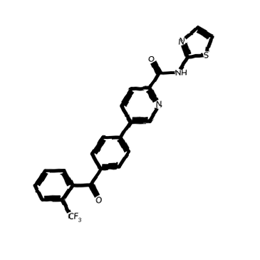 O=C(Nc1nccs1)c1ccc(-c2ccc(C(=O)c3ccccc3C(F)(F)F)cc2)cn1